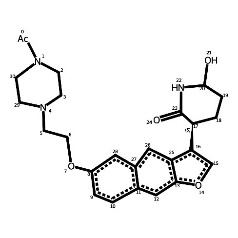 CC(=O)N1CCN(CCOc2ccc3cc4occ([C@@H]5CCC(O)NC5=O)c4cc3c2)CC1